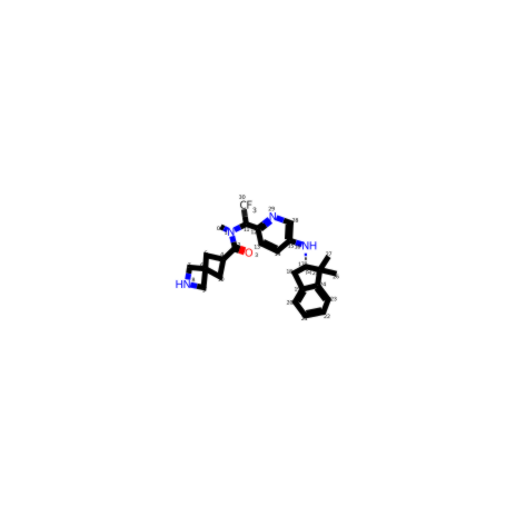 CN(C(=O)C1CC2(CNC2)C1)C(c1ccc(N[C@H]2Cc3ccccc3C2(C)C)cn1)C(F)(F)F